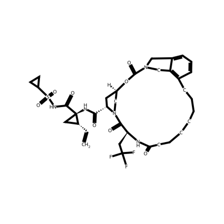 C=C[C@@H]1C[C@]1(NC(=O)[C@@H]1C[C@@H]2CN1C(=O)[C@H](CC(F)(F)F)NC(=O)CCCCCCCc1cccc3c1CN(C3)C(=O)O2)C(=O)NS(=O)(=O)C1CC1